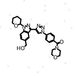 O=C(c1ccc(-n2cc(-c3nn(C4CCCCO4)c4ccc(CO)cc34)nn2)cc1)N1CCOCC1